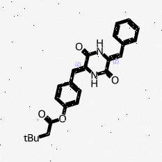 CC(C)(C)CC(=O)Oc1ccc(/C=c2\[nH]c(=O)/c(=C/c3ccccc3)[nH]c2=O)cc1